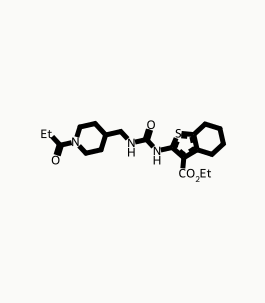 CCOC(=O)c1c(NC(=O)NCC2CCN(C(=O)CC)CC2)sc2c1CCCC2